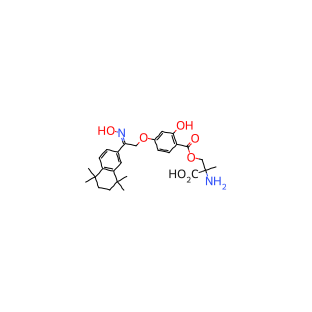 CC(N)(COC(=O)c1ccc(OC/C(=N/O)c2ccc3c(c2)C(C)(C)CCC3(C)C)cc1O)C(=O)O